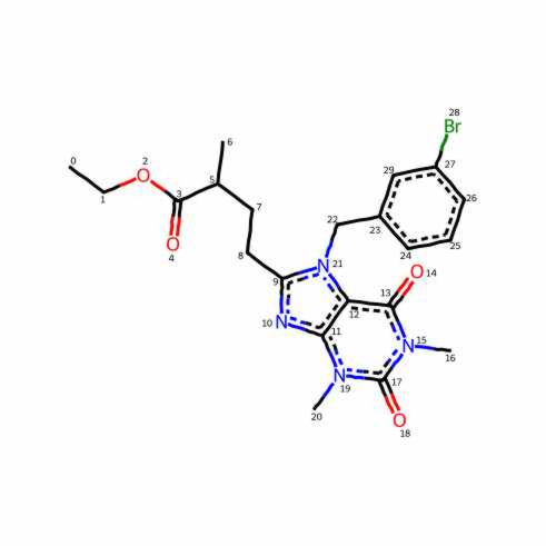 CCOC(=O)C(C)CCc1nc2c(c(=O)n(C)c(=O)n2C)n1Cc1cccc(Br)c1